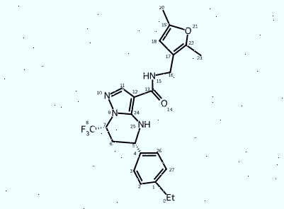 CCc1ccc([C@@H]2C[C@H](C(F)(F)F)n3ncc(C(=O)NCc4cc(C)oc4C)c3N2)cc1